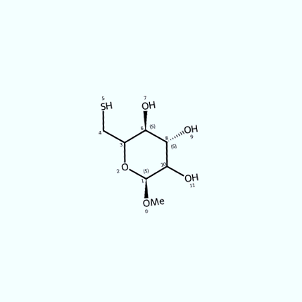 CO[C@H]1OC(CS)[C@@H](O)[C@H](O)C1O